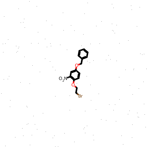 O=[N+]([O-])c1cc(OCc2ccccc2)ccc1OCCBr